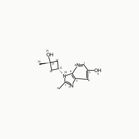 Cc1nc2cc(O)cnc2n1[C@H]1C[C@@](C)(O)C1